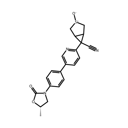 C[C@H]1CN(c2ccc(-c3ccc(C4(C#N)C5C[S+]([O-])CC54)nc3)cc2)C(=O)O1